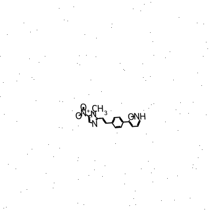 Cn1c([N+](=O)[O-])cnc1C=Cc1ccc(C2=CC=CNO2)cc1